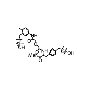 CNC(=O)C(Cc1ccc(CC(C)(C)[Si](C)(C)O)cc1)NC(=O)COCC(=O)Nc1ccc(C)c(CC(C)(C)[Si](C)(C)O)c1